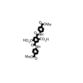 COC(=O)c1ccc(NC(=O)c2cc(C(=O)O)c(C(=O)Nc3ccc(C(=O)OC)cc3)cc2C(=O)O)cc1